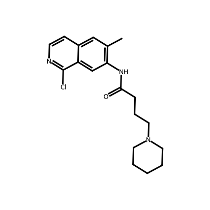 Cc1cc2ccnc(Cl)c2cc1NC(=O)CCCN1CCCCC1